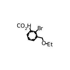 CCOCc1cccc(C(=O)O)c1Br